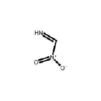 N=C[N+](=O)[O-]